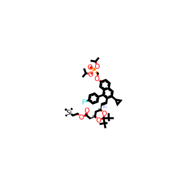 CC(C)OP(=O)(COc1ccc2cc(C3CC3)c(/C=C/[C@@H]3C[C@H](CC(=O)OCC[Si](C)(C)C)OC(C(C)(C)C)(C(C)(C)C)O3)c(-c3ccc(F)cc3)c2c1)OC(C)C